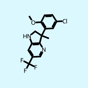 COc1ccc(Cl)cc1C1(C)CNc2cc(C(F)(F)F)cnc21